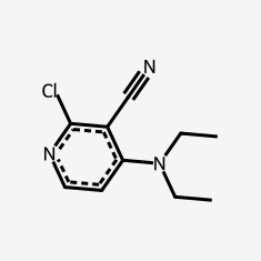 CCN(CC)c1ccnc(Cl)c1C#N